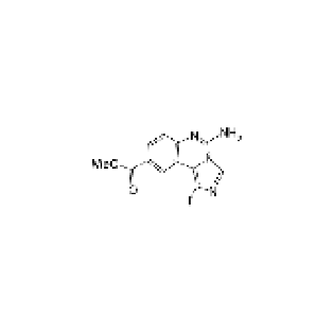 COC(=O)c1ccc2nc(N)n3cnc(I)c3c2c1